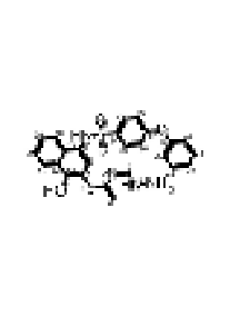 C=C(/N=C\NN)Sc1cc(NS(=O)(=O)c2ccc(Oc3ccccc3)cc2)c2ccccc2c1O